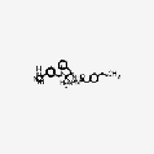 CCCC1CCC(CC(=O)N=C(N)N[C@H](CC2CCCCC2)C(=O)NCc2cccc(-c3nnn[nH]3)c2)CC1